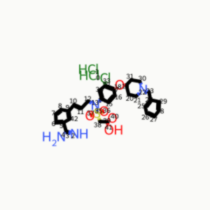 Cl.Cl.N=C(N)c1cccc(/C=C/CN(c2ccc(OC3CCN(Cc4ccccc4)CC3)c(Cl)c2)S(=O)(=O)CC(=O)O)c1